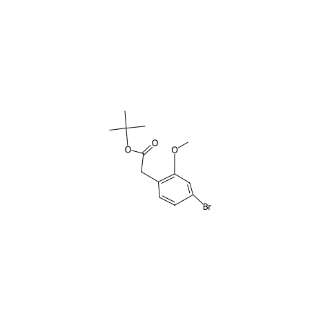 COc1cc(Br)ccc1CC(=O)OC(C)(C)C